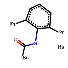 CC(C)c1cccc(C(C)C)c1[N-]C(=O)C(C)(C)C.[Na+]